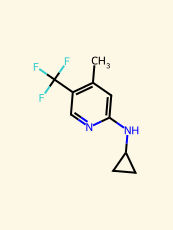 Cc1cc(NC2CC2)ncc1C(F)(F)F